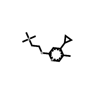 Cc1cnc(OCC[Si](C)(C)C)cc1C1CC1